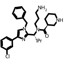 CC(C)[C@H](c1nc(-c2cccc(Cl)c2)cn1Cc1ccccc1)N(CCCN)C(=O)[C@H]1CCCNC1